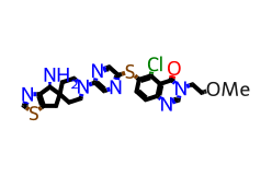 COCCn1cnc2ccc(Sc3cnc(N4CCC5(CC4)Cc4scnc4[C@H]5N)cn3)c(Cl)c2c1=O